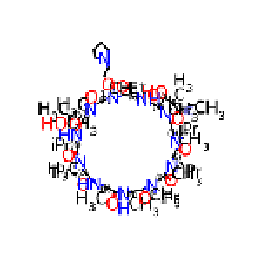 C/C=C/C[C@@H](C)[C@@H](O)[C@H]1C(=O)N[C@@H](CC)C(=O)N(C)[C@H](COCCN2CCCC2)C(=O)N(C)[C@@H](CC(C)(C)O)C(=O)N[C@@H](C(C)C)C(=O)N(C)[C@@H](CC(C)C)C(=O)N[C@@H](C)C(=O)N[C@H](C)C(=O)N(C)[C@@H](CC(C)C)C(=O)N(C)[C@@H](CC(C)C)C(=O)N(C)[C@@H](C(C)C)C(=O)N1C